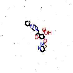 O=CO.c1ccc(N2CCN(Cc3coc4cc(Oc5nc6ncccc6s5)ccc34)CC2)cc1